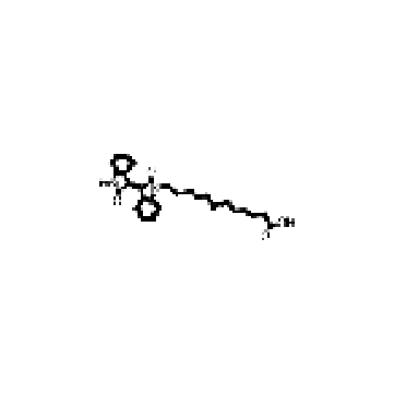 O=C(O)CCCCCCCCCCCN1C(=O)/C(=C2/C(=O)Nc3ccccc32)c2ccccc21